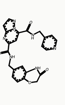 O=C1COc2ccc(CNC(=O)c3cc(C(=O)NCc4ccncc4)n4nccc4n3)cc2N1